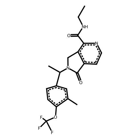 CCNC(=O)c1nccc2c1CN(C(C)c1ccc(OC(F)(F)F)c(C)c1)C2=O